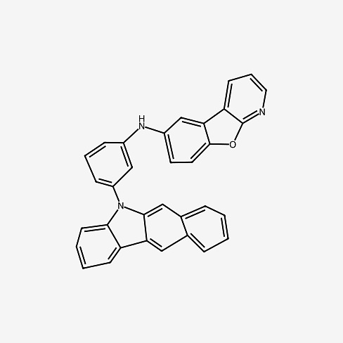 c1cc(Nc2ccc3oc4ncccc4c3c2)cc(-n2c3ccccc3c3cc4ccccc4cc32)c1